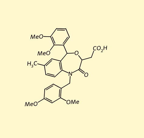 COc1ccc(CN2C(=O)C(CC(=O)O)OC(c3cccc(OC)c3OC)c3cc(C)ccc32)c(OC)c1